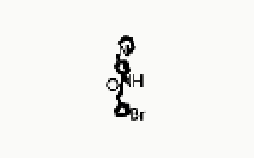 O=C(C=Cc1cccc(Br)c1)Nc1ccc(CN2CCCCC2)cc1